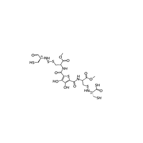 COC(=O)C(CSN[C@@H](CS)C(=O)S)NC(=O)c1sc(C(=O)NC(CSSN[C@H](C=O)CS)C(=O)OC)c(O)c1O